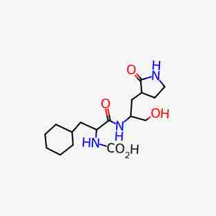 O=C(O)NC(CC1CCCCC1)C(=O)NC(CO)CC1CCNC1=O